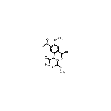 CCC(=O)OC(C(C)=O)c1cc([N+](=O)[O-])c(OC)cc1C(=O)O